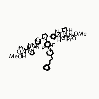 COC(=O)NC(C(=O)N1CCC[C@H]1c1nc2cc([C@H]3CC[C@H](c4ccc5[nH]c([C@@H]6CCCN6C(=O)[C@@H](NC(=O)OC)C(C)C)nc5c4)N3c3cc(F)c(N4CCC(CCCc5ccccc5)CC4)c(F)c3)ccc2[nH]1)C(C)C